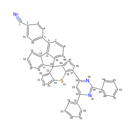 N#Cc1ccc(-c2cccc3c2-c2ccccc2C32c3ccccc3Sc3c(-c4cc(-c5ccccc5)nc(-c5ccccc5)n4)cccc32)cc1